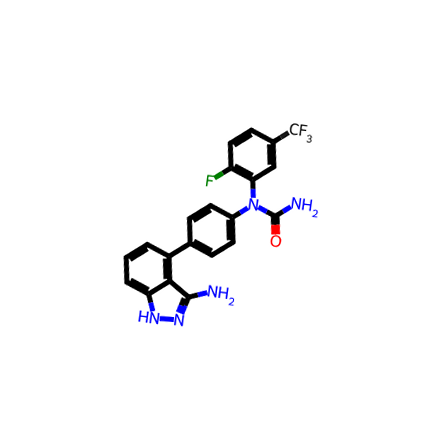 NC(=O)N(c1ccc(-c2cccc3[nH]nc(N)c23)cc1)c1cc(C(F)(F)F)ccc1F